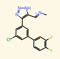 C/N=C/c1[nH]nnc1-c1cc(Cl)cc(-c2ccc(F)c(F)c2)c1